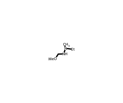 CCN(C)NCOC